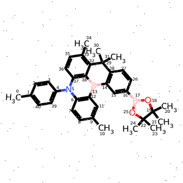 Cc1ccc(N2c3ccc(C)cc3B3c4cc(B5OC(C)(C)C(C)(C)O5)ccc4C(C)(C)c4c(C)ccc2c43)cc1